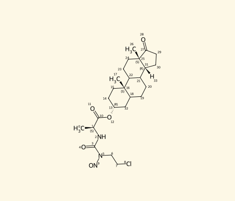 C[C@H](NC(=O)N(CCCl)N=O)C(=O)O[C@@H]1CC[C@@]2(C)C(CCC3C2CC[C@]2(C)C(=O)CC[C@H]32)C1